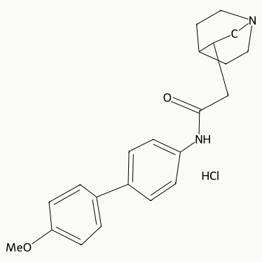 COc1ccc(-c2ccc(NC(=O)CC3CN4CCC3CC4)cc2)cc1.Cl